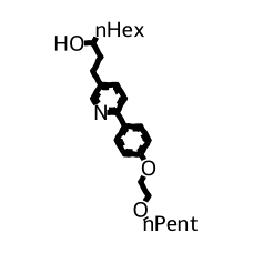 CCCCCCC(O)CCc1ccc(-c2ccc(OCCOCCCCC)cc2)nc1